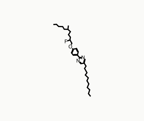 CCCCCCCCCCCc1cnc(-c2ccc(OCC(F)CCCC(C)CCCCC)cc2)nc1